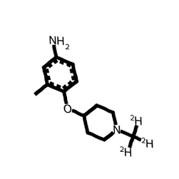 [2H]C([2H])([2H])N1CCC(Oc2ccc(N)cc2C)CC1